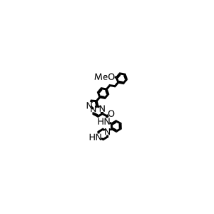 COc1ccccc1CCc1ccc(-c2cnn3ccc(C(=O)Nc4ccccc4N4CCNCC4)nc23)cc1